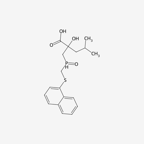 CC(C)CC(O)(C[PH](=O)CSc1cccc2ccccc12)C(=O)O